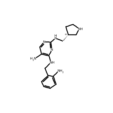 Nc1ccccc1CNc1nc(NC[C@@H]2CCNC2)ncc1N